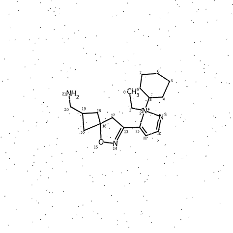 CC[N+]1(C2CCCCC2)N=CC=C1C1=NOC2(C1)CC(CN)C2